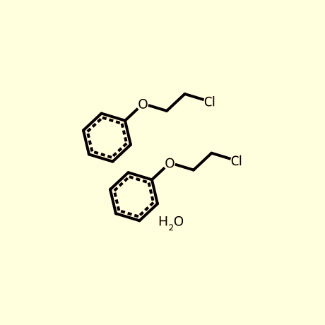 ClCCOc1ccccc1.ClCCOc1ccccc1.O